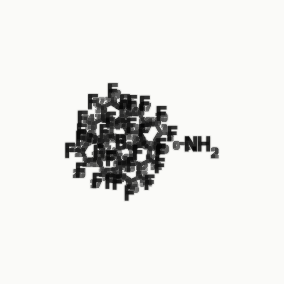 CN.Fc1c(F)c(F)c2c([B-](c3c(F)c(F)c(F)c4c(F)c(F)c(F)c(F)c34)(c3c(F)c(F)c(F)c4c(F)c(F)c(F)c(F)c34)c3c(F)c(F)c(F)c4c(F)c(F)c(F)c(F)c34)c(F)c(F)c(F)c2c1F